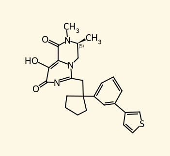 C[C@H]1Cn2c(CC3(c4cccc(-c5ccsc5)c4)CCCC3)nc(=O)c(O)c2C(=O)N1C